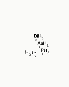 P.[AsH3].[BiH3].[TeH2]